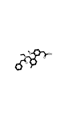 CCN(Cc1cc(C)ccc1-c1cc(CC(=O)O)ccc1OC)C(=O)Cc1ccccc1